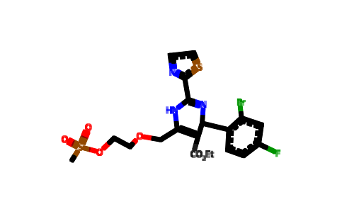 CCOC(=O)C1=C(COCCOS(C)(=O)=O)NC(c2nccs2)=NC1c1ccc(F)cc1Br